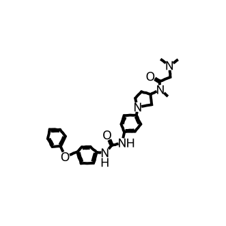 CN(C)CC(=O)N(C)C1CCN(c2ccc(NC(=O)Nc3ccc(Oc4ccccc4)cc3)cc2)C1